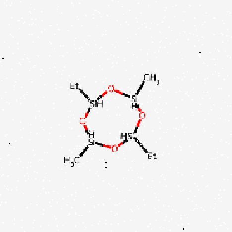 CC[SiH]1O[SiH](C)O[SiH](CC)O[SiH](C)O1